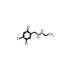 CCNNCc1cc(Cl)c(Cl)cc1Cl